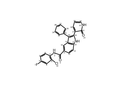 O=C(Nc1ccc(F)cc1Cl)c1ccc2[nH]c(-c3ccc[nH]c3=O)c(-c3ccccc3)c2c1